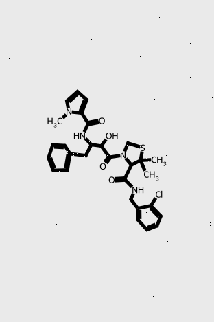 Cn1cccc1C(=O)NC(Cc1ccccc1)C(O)C(=O)N1CSC(C)(C)C1C(=O)NCc1ccccc1Cl